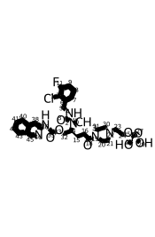 CN(C(=O)NCc1cccc(F)c1Cl)[C@@H](CCC(=O)N1CCN(CCOP(=O)(O)O)CC1)COC(=O)Nc1cc2ccccc2cn1